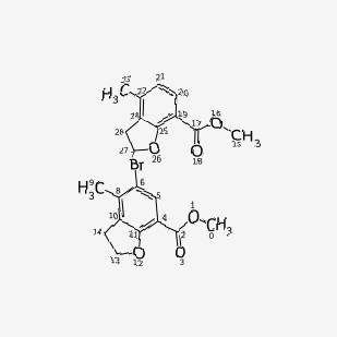 COC(=O)c1cc(Br)c(C)c2c1OCC2.COC(=O)c1ccc(C)c2c1OCC2